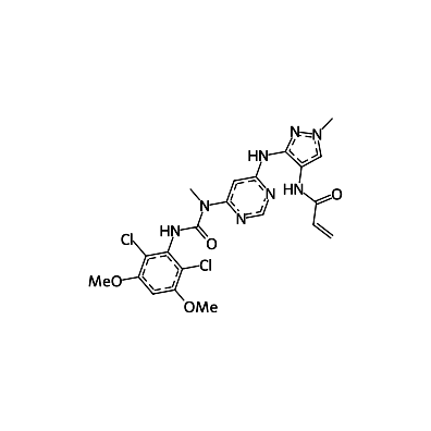 C=CC(=O)Nc1cn(C)nc1Nc1cc(N(C)C(=O)Nc2c(Cl)c(OC)cc(OC)c2Cl)ncn1